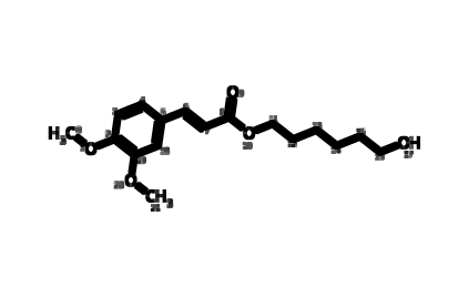 COc1ccc(C=CC(=O)OCCCCCCO)cc1OC